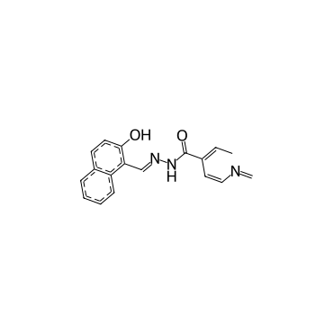 C=N/C=C\C(=C/C)C(=O)N/N=C/c1c(O)ccc2ccccc12